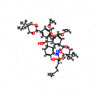 CCCCS(=O)(=O)Nc1cccc(C(O)(c2cc(C3OCC(C)(C)CO3)ccc2OCOC)c2cc(C3OCC(C)(C)CO3)ccc2OCOC)c1